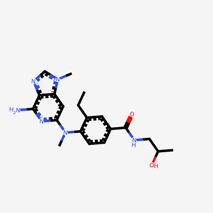 CCc1cc(C(=O)NCC(C)O)ccc1N(C)c1cc2c(ncn2C)c(N)n1